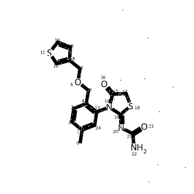 Cc1ccc(COCc2ccsc2)c(N2C(=O)CSC2=NC(N)=O)c1